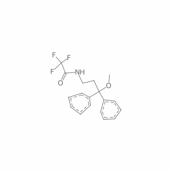 COC(CCNC(=O)C(F)(F)F)(c1ccccc1)c1ccccc1